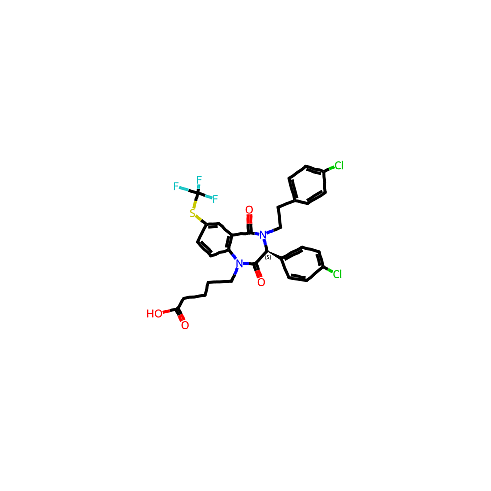 O=C(O)CCCCN1C(=O)[C@H](c2ccc(Cl)cc2)N(CCc2ccc(Cl)cc2)C(=O)c2cc(SC(F)(F)F)ccc21